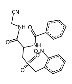 N#CCNC(=O)C(CS(=O)(=O)Cc1ccccc1[N+](=O)[O-])NC(=O)c1ccccc1